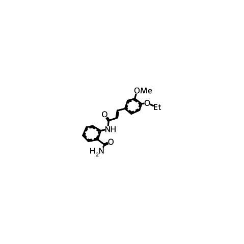 CCOc1ccc(/C=C/C(=O)Nc2ccccc2C(N)=O)cc1OC